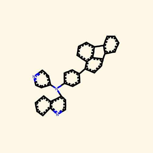 c1ccc2c(c1)-c1cccc3c(-c4ccc(N(c5ccncc5)c5ccnc6ccccc56)cc4)ccc-2c13